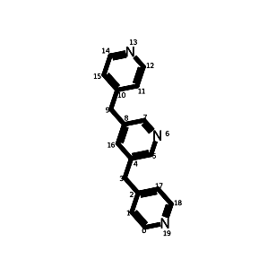 c1cc(Cc2cncc(Cc3ccncc3)c2)ccn1